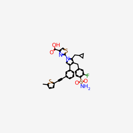 Cc1ccc(C#Cc2cccc(-c3cn(-c4nc(C(=O)O)cs4)c(CC4CC4)c3Cc3ccc(S(N)(=O)=O)c(F)c3)c2)s1